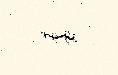 C/C(C#CC#C/C(C)=C(C)/C=C/C(=O)O)=C(C)\C=C\C(=O)O